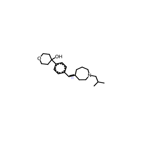 CC(C)CN1CCC/C(=C\c2ccc(C3(O)CCOCC3)cc2)CC1